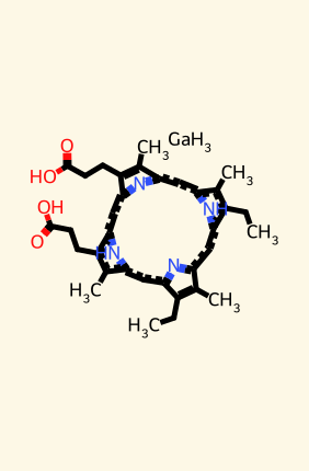 CCC1=C(C)c2cc3[nH]c(cc4nc(cc5[nH]c(cc1n2)c(C)c5CCC(=O)O)C(CCC(=O)O)=C4C)c(C)c3CC.[GaH3]